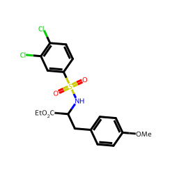 CCOC(=O)C(Cc1ccc(OC)cc1)NS(=O)(=O)c1ccc(Cl)c(Cl)c1